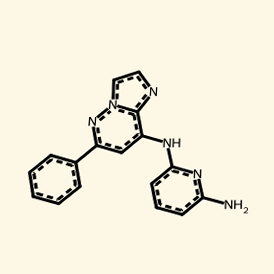 Nc1cccc(Nc2cc(-c3ccccc3)nn3ccnc23)n1